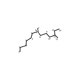 CCCCCCN(C)CCCC(C)CC